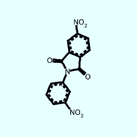 O=C1c2ccc([N+](=O)[O-])cc2C(=O)N1c1cccc([N+](=O)[O-])c1